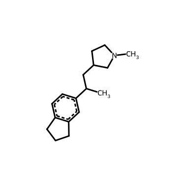 CC(CC1CCN(C)C1)c1ccc2c(c1)CCC2